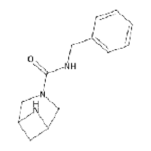 O=C(NCc1ccccc1)N1CC2CC(C1)N2